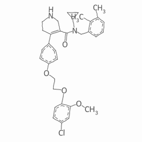 COc1cc(Cl)ccc1OCCOc1ccc(C2=C(C(=O)N(Cc3cccc(C)c3C)C3CC3)CNCC2)cc1